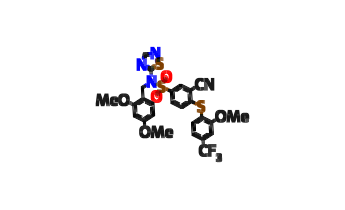 COc1ccc(CN(c2ncns2)S(=O)(=O)c2ccc(Sc3ccc(C(F)(F)F)cc3OC)c(C#N)c2)c(OC)c1